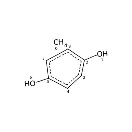 C.Oc1ccc(O)cc1